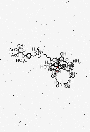 CC[C@H](C)[C@@H]1NC(=O)CNC(=O)[C@@H]2Cc3c([nH]c4cc(OCCCCCCN(C)C(=O)OCc5ccc(OC6OC[C@@H](OC(C)=O)[C@H](OC(C)=O)[C@H]6OC(C)=O)c(C(=O)O)c5)ccc34)[S@+]([O-])C[C@H](NC(=O)CNC1=O)C(=O)N[C@@H](CC(N)=O)C(=O)N1C[C@H](O)C[C@H]1C(=O)N[C@@H]([C@@H](C)[C@@H](O)CO)C(=O)N2